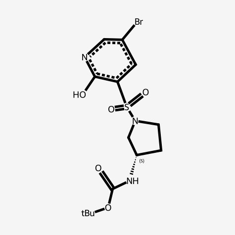 CC(C)(C)OC(=O)N[C@H]1CCN(S(=O)(=O)c2cc(Br)cnc2O)C1